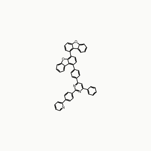 c1ccc(-c2cc(-c3ccc(-c4ccc(-c5cccc6oc7ccccc7c56)c5oc6ccccc6c45)cc3)nc(-c3ccc(-c4ccccn4)cc3)n2)cc1